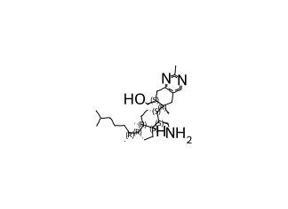 Cc1ncc2c(n1)C[C@H](CO)[C@@](C)([C@H]1CC[C@]3(C)[C@@H]([C@H](C)CCCC(C)C)CC[C@H]3[C@@H]1CN)C2